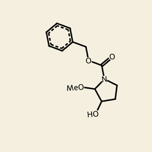 COC1C(O)CCN1C(=O)OCc1ccccc1